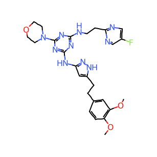 COc1ccc(CCc2cc(Nc3nc(NCCc4ncc(F)cn4)nc(N4CCOCC4)n3)n[nH]2)cc1OC